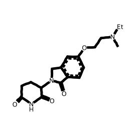 CCN(C)CCOc1ccc2c(c1)CN(C1CCC(=O)NC1=O)C2=O